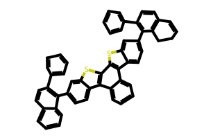 C1=Cc2ccc(-c3ccccc3)c(-c3ccc4c(c3)sc3c5sc6cc(-c7c(-c8ccccc8)ccc8ccccc78)ccc6c5c5ccccc5c43)c2CC1